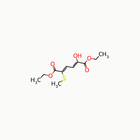 CCOC(=O)C(O)=CC=C(SC)C(=O)OCC